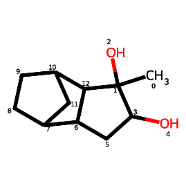 CC1(O)C(O)CC2C3CCC(C3)C21